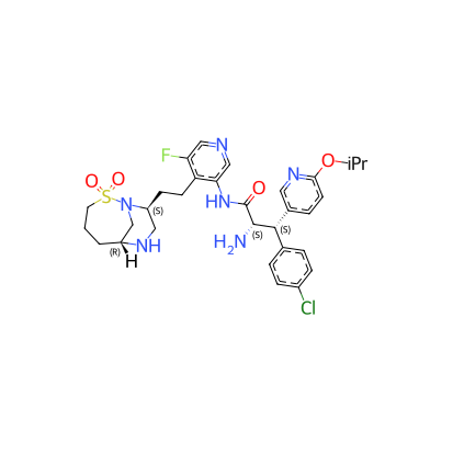 CC(C)Oc1ccc([C@H](c2ccc(Cl)cc2)[C@H](N)C(=O)Nc2cncc(F)c2CC[C@H]2CN[C@@H]3CCCS(=O)(=O)N2C3)cn1